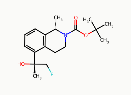 C[C@H]1c2cccc([C@@](C)(O)CF)c2CCN1C(=O)OC(C)(C)C